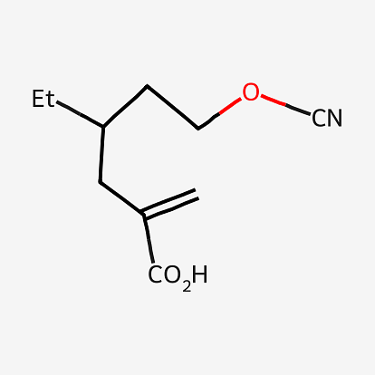 C=C(CC(CC)CCOC#N)C(=O)O